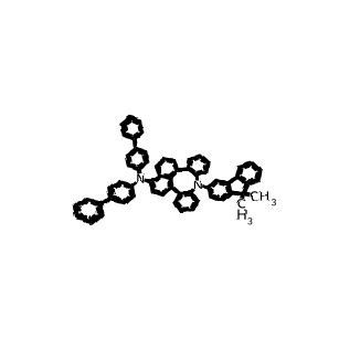 CC1(C)c2ccccc2-c2cc(N3c4ccccc4-c4cccc5c(N(c6ccc(-c7ccccc7)cc6)c6ccc(-c7ccccc7)cc6)ccc(c45)-c4ccccc43)ccc21